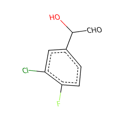 O=CC(O)c1ccc(F)c(Cl)c1